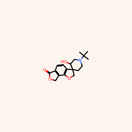 CC(C)(C)N1CCC2(COc3c2ccc2c3COC2=O)C(O)C1